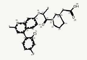 Cc1cc(-c2ccc(F)cc2Cl)c2ccc(OC(C)C(=O)N3CCC[C@H](CC(=O)O)C3)cc2n1